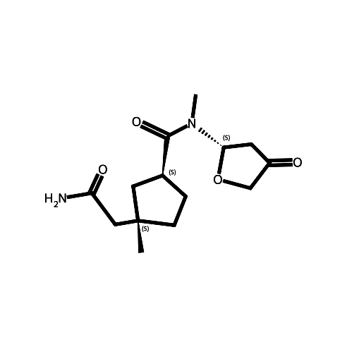 CN(C(=O)[C@H]1CC[C@](C)(CC(N)=O)C1)[C@@H]1CC(=O)CO1